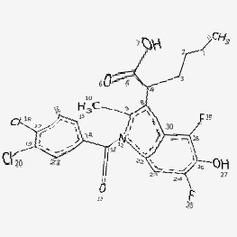 CCCCC(C(=O)O)c1c(C)n(C(=O)c2ccc(Cl)c(Cl)c2)c2cc(F)c(O)c(F)c12